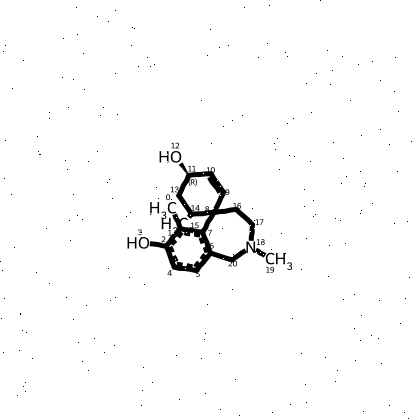 Cc1c(O)ccc2c1C1(C=C[C@H](O)CC1C)CCN(C)C2